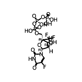 O=c1[nH]c(=O)n([C@@H]2O[C@]3(COP(=O)(O)OP(=O)(O)OP(=O)(O)O)[C@@H](O)[C@H]2OC3(F)F)cc1F